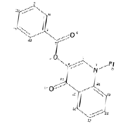 CCn1cc(OC(=O)c2ccccc2)c(=O)c2ccccc21